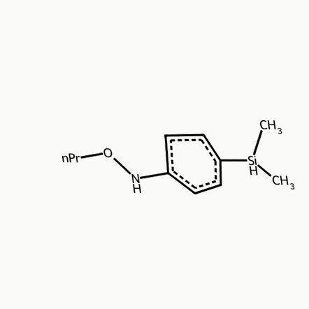 CCCONc1ccc([SiH](C)C)cc1